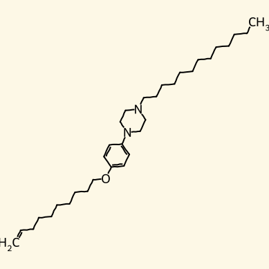 C=CCCCCCCCCOc1ccc(N2CCN(CCCCCCCCCCCCC)CC2)cc1